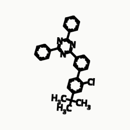 CC(C)(C)c1ccc(-c2cccc(-c3nc(-c4ccccc4)nc(-c4ccccc4)n3)c2)c(Cl)c1